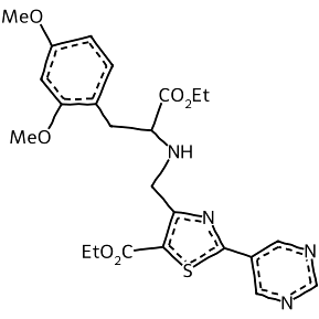 CCOC(=O)c1sc(-c2cncnc2)nc1CNC(Cc1ccc(OC)cc1OC)C(=O)OCC